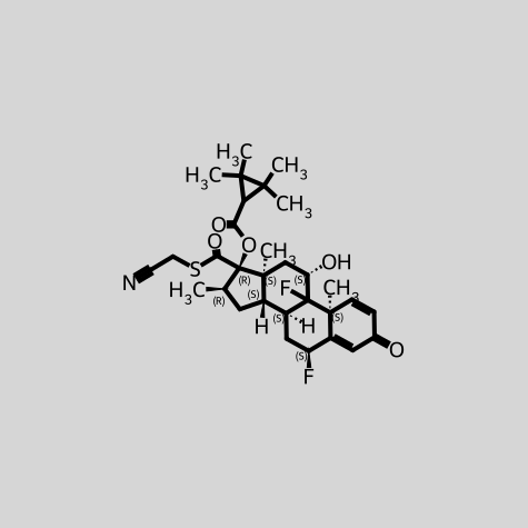 C[C@@H]1C[C@H]2[C@@H]3C[C@H](F)C4=CC(=O)C=C[C@]4(C)C3(F)[C@@H](O)C[C@]2(C)[C@@]1(OC(=O)C1C(C)(C)C1(C)C)C(=O)SCC#N